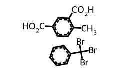 BrC(Br)(Br)c1ccccc1.Cc1ccc(C(=O)O)cc1C(=O)O